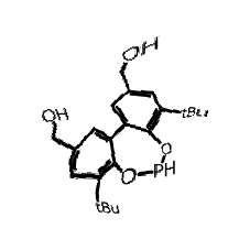 CC(C)(C)c1cc(CO)cc2c1o[pH]oc1c(C(C)(C)C)cc(CO)cc12